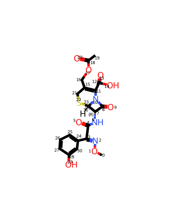 CON=C(C(=O)N[C@@H]1C(=O)N2C(C(=O)O)=C(COC(C)=O)CS[C@H]12)c1cccc(O)c1